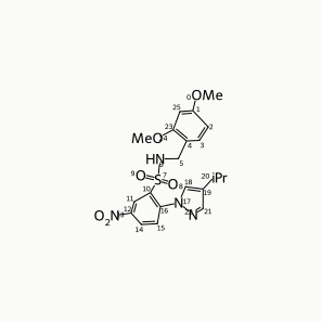 COc1ccc(CNS(=O)(=O)c2cc([N+](=O)[O-])ccc2-n2cc(C(C)C)cn2)c(OC)c1